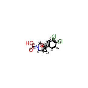 CCCC(=O)C12CN(C(=O)O)CC[C@]1(c1ccc(Cl)c(Cl)c1)C2